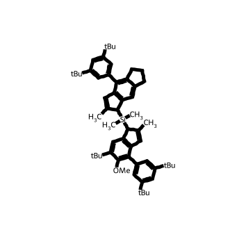 COc1c(C(C)(C)C)cc2c(c1-c1cc(C(C)(C)C)cc(C(C)(C)C)c1)C=C(C)C2[Si](C)(C)C1C(C)=Cc2c1cc1c(c2-c2cc(C(C)(C)C)cc(C(C)(C)C)c2)CCC1